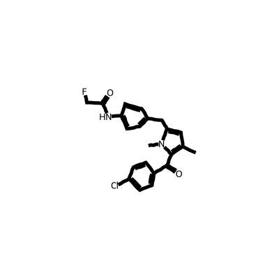 Cc1cc(Cc2ccc(NC(=O)CF)cc2)n(C)c1C(=O)c1ccc(Cl)cc1